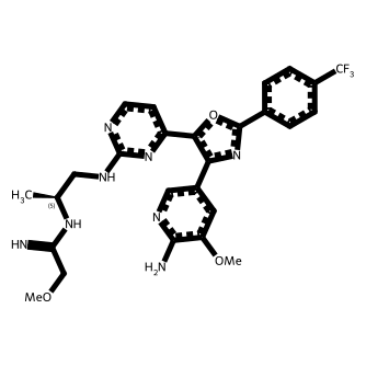 COCC(=N)N[C@@H](C)CNc1nccc(-c2oc(-c3ccc(C(F)(F)F)cc3)nc2-c2cnc(N)c(OC)c2)n1